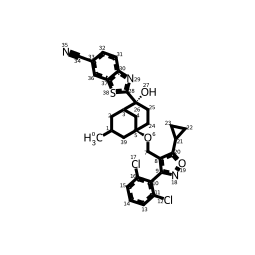 CC1CC2C[C@](OCc3c(-c4c(Cl)cccc4Cl)noc3C3CC3)(CC[C@]2(O)c2nc3ccc(C#N)cc3s2)C1